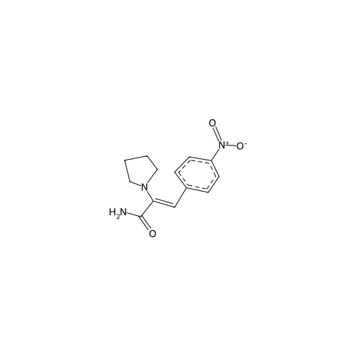 NC(=O)C(=Cc1ccc([N+](=O)[O-])cc1)N1CCCC1